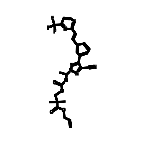 C=CCOC(=O)C(C)(C)COC(=O)OC(C)n1nc(C#N)c(-c2cccc(/C=C/c3nccc(C(F)(F)F)n3)c2)n1